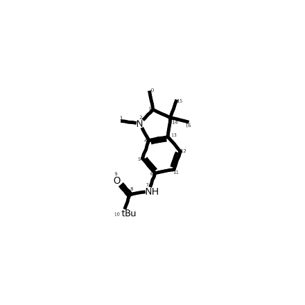 CC1N(C)c2cc(NC(=O)C(C)(C)C)ccc2C1(C)C